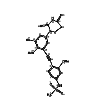 COc1cc(NS(C)(=O)=O)ccc1C#Cc1cc(N2CCC(=O)NC2=O)cc(C(C)(C)C)c1OC